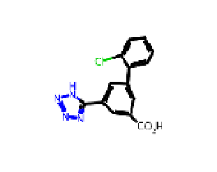 O=C(O)c1cc(-c2nnn[nH]2)cc(-c2ccccc2Cl)c1